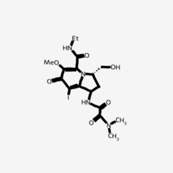 CCNC(=O)c1c(OC)c(=O)c(I)c2n1[C@H](CO)CC2NC(=O)C(=O)N(C)C